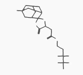 CC(F)(F)C(F)(F)CCOC(=O)CC1OC2(OC1=O)C1CC3CC2CC(O)(C3)C1